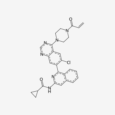 C=CC(=O)N1CCN(c2ncnc3cc(-c4nc(NC(=O)C5CC5)cc5ccccc45)c(Cl)cc23)CC1